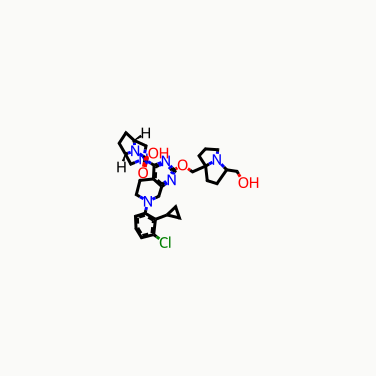 O=C(O)N1[C@@H]2CC[C@H]1CN(c1nc(OCC34CCCN3C(CO)CC4)nc3c1CCN(c1cccc(Cl)c1C1CC1)C3)C2